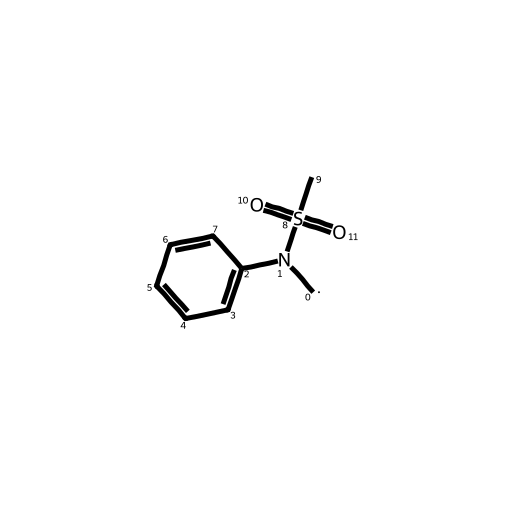 [CH2]N(c1ccccc1)S(C)(=O)=O